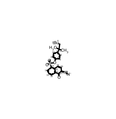 CC(C)(C)CC(C)(C)c1ccc(OS(=O)(=O)c2cccc3c2C=CC(=[N+]=[N-])C3=O)cc1